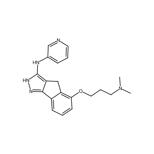 CN(C)CCCOc1cccc2c1Cc1c-2n[nH]c1Nc1cccnc1